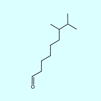 CC(C)C(C)CCCCCC=O